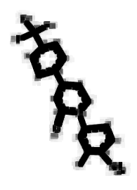 Cc1cc(-n2ccc(-c3ccc(C(F)(F)F)cc3)cc2=O)ccc1N